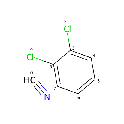 C#N.Clc1ccccc1Cl